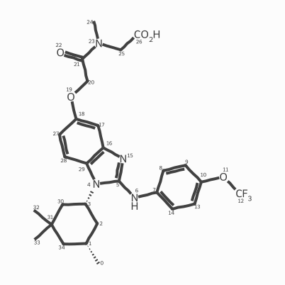 C[C@H]1C[C@@H](n2c(Nc3ccc(OC(F)(F)F)cc3)nc3cc(OCC(=O)N(C)CC(=O)O)ccc32)CC(C)(C)C1